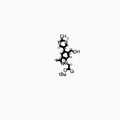 Cc1ncc(-c2cc3c(I)nn(CC(=O)OC(C)(C)C)c3cc2CO)cn1